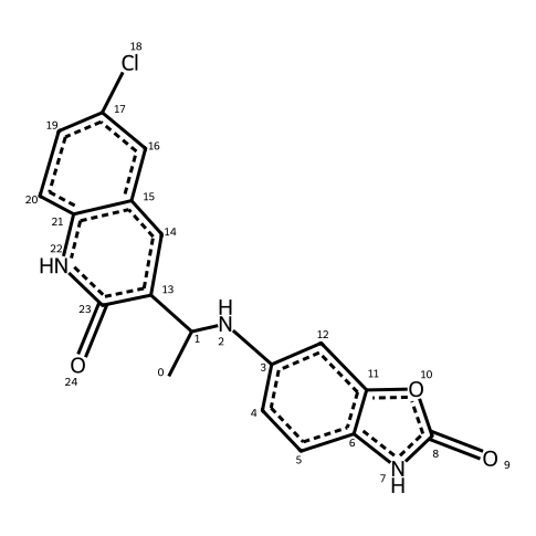 CC(Nc1ccc2[nH]c(=O)oc2c1)c1cc2cc(Cl)ccc2[nH]c1=O